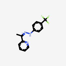 C/C(=N/Nc1ccc(C(F)(F)F)cc1)c1ccccn1